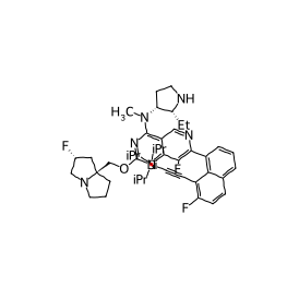 CC[C@H]1NCC[C@H]1N(C)c1nc(OC[C@@]23CCCN2C[C@H](F)C3)nc2c(F)c(-c3cccc4ccc(F)c(C#C[Si](C(C)C)(C(C)C)C(C)C)c34)ncc12